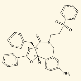 Nc1ccc2c(c1)CN(CCS(=O)(=O)c1ccccc1)C(=O)[C@@]1(Cc3ccccc3)N=C(c3ccccc3)O[C@@H]21